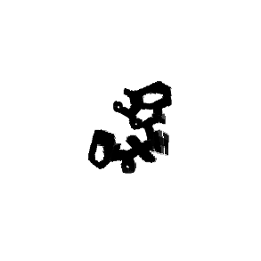 Cc1cccc2nc(NC(C)(C)C(=O)N3CCCC3)oc(=O)c12